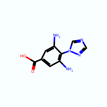 Nc1cc(C(=O)O)cc(N)c1-n1cncn1